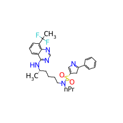 CCCN(CCCC[C@H](C)Nc1ncnc2c(C(C)(F)F)cccc12)S(=O)(=O)C1=CN=C(c2ccccc2)C1